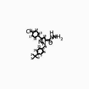 CC(C)(C)c1ccc(Cn2nc(-c3ccc(Cl)cc3)cc2C(=O)NN)cc1